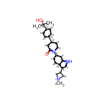 CN1CC(c2c[nH]c3cc(-n4ccc(-c5ccc(C(C)(C)O)cc5)cc4=O)ccc23)C1